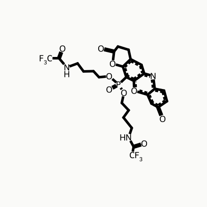 O=C1CCc2cc3nc4ccc(=O)cc-4oc3c(P(=O)(OCCCCNC(=O)C(F)(F)F)OCCCCNC(=O)C(F)(F)F)c2O1